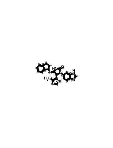 Cc1nc[nH]c1C1C(=NC2CCc3ccccc32)NC(=O)N1c1ccc2nc[nH]c2c1